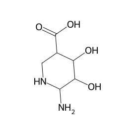 NC1NCC(C(=O)O)C(O)C1O